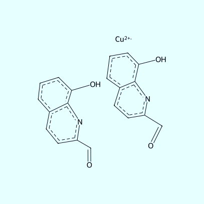 O=Cc1ccc2cccc(O)c2n1.O=Cc1ccc2cccc(O)c2n1.[Cu+2]